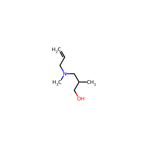 C=CCN(C)CC(C)CO